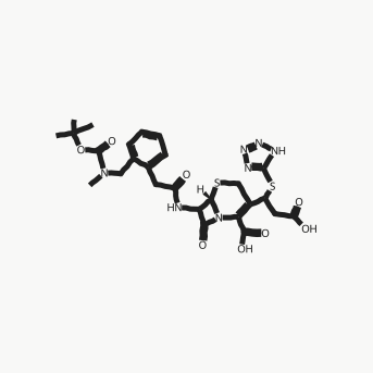 CN(Cc1ccccc1CC(=O)NC1C(=O)N2C(C(=O)O)=C(C(CC(=O)O)Sc3nnn[nH]3)CS[C@@H]12)C(=O)OC(C)(C)C